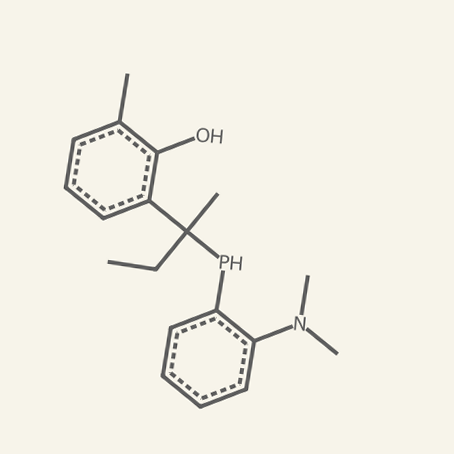 CCC(C)(Pc1ccccc1N(C)C)c1cccc(C)c1O